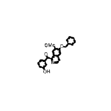 COc1cc2c(C(=O)c3cccc(O)c3)nccc2cc1OCc1ccccc1